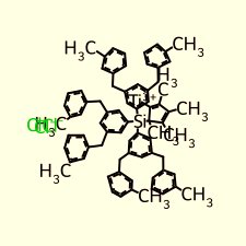 CC1=C(C)C(C)([Si](c2cc(Cc3cccc(C)c3)cc(Cc3cccc(C)c3)c2)(c2cc(Cc3cccc(C)c3)cc(Cc3cccc(C)c3)c2)c2cc(Cc3cccc(C)c3)cc(Cc3cccc(C)c3)c2)[C]([Ti+3])=C1C.[Cl-].[Cl-].[Cl-]